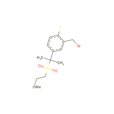 COCCS(=O)(=O)C(C)(C)c1ccc(F)c(CBr)c1